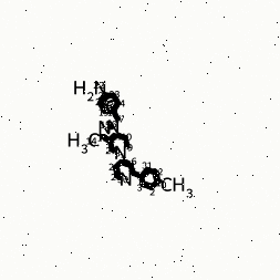 Cc1ccc(-c2cc(N3CCc4c(c(C)nn4CC45CCC(N)(CC4)CC5)C3)ccn2)cc1